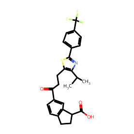 CC(C)c1nc(-c2ccc(C(F)(F)F)cc2)sc1CCC(=O)c1ccc2c(c1)C(C(=O)O)CC2